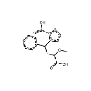 COC(CC(c1ccccc1)c1ccsc1C(=O)O)C(=O)O